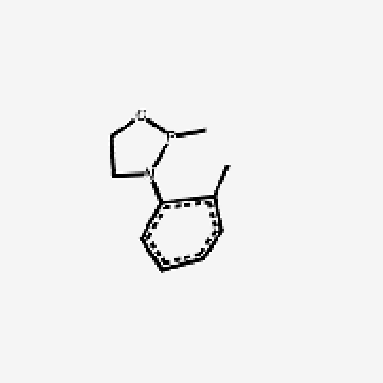 Cc1ccccc1N1CCOP1C